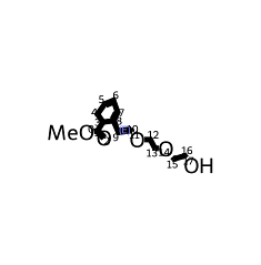 COC(=O)C1CC=CC=C1/C=C/OCCOCCO